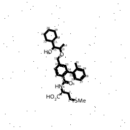 CSCC[C@H](NC(=O)c1ccc(COC(C)C(O)C2CCCCC2)cc1-c1ccccc1C)C(=O)O